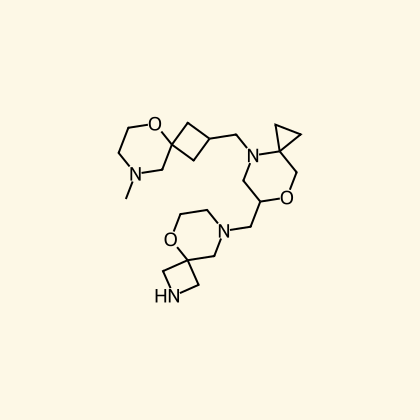 CN1CCOC2(CC(CN3CC(CN4CCOC5(CNC5)C4)OCC34CC4)C2)C1